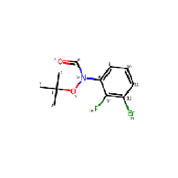 CC(C)(C)ON(C=O)c1cccc(Br)c1F